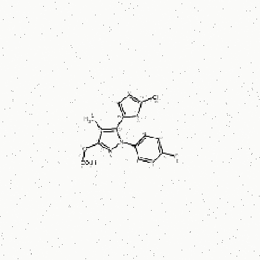 Cc1c(OC(=O)O)nn(-c2ccc(Cl)cc2)c1-c1ccc(Cl)s1